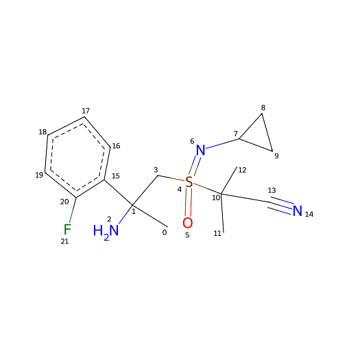 CC(N)(CS(=O)(=NC1CC1)C(C)(C)C#N)c1ccccc1F